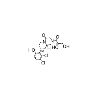 O=C([C@H](O)CO)N1CC(=O)N2CC[C@H](c3c(O)ccc(Cl)c3Cl)C[C@@H]2C1